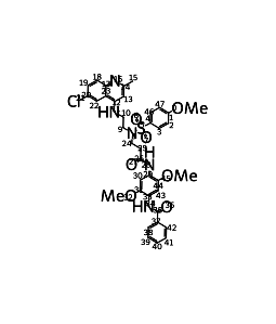 COc1ccc(S(=O)(=O)N(CCNc2cc(C)nc3ccc(Cl)cc23)CCC(=O)Nc2cc(OC)c(NC(=O)c3ccccc3)cc2OC)cc1